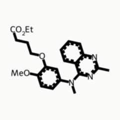 CCOC(=O)CCCOc1cc(N(C)c2nc(C)nc3ccccc23)ccc1OC